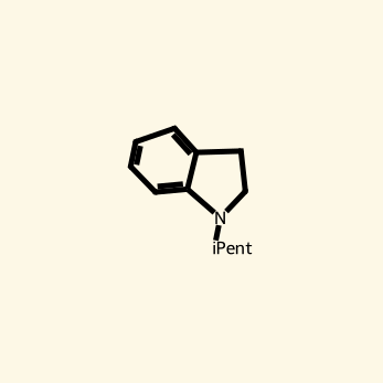 CCCC(C)N1CCc2ccccc21